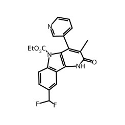 CCOC(=O)n1c2ccc(C(F)F)cc2c2[nH]c(=O)c(C)c(-c3cccnc3)c21